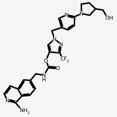 Nc1nccc2cc(CNC(=O)Oc3cn(Cc4ccc(N5CCC(CO)C5)nc4)nc3C(F)(F)F)ccc12